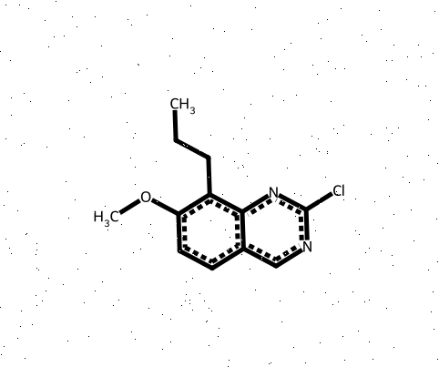 CCCc1c(OC)ccc2cnc(Cl)nc12